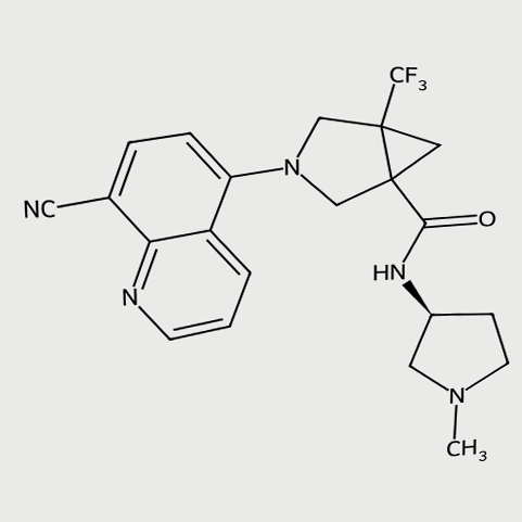 CN1CC[C@H](NC(=O)C23CN(c4ccc(C#N)c5ncccc45)CC2(C(F)(F)F)C3)C1